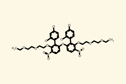 CCOCCOCCOc1c([N+](=O)[O-])ccc(Oc2ccc([N+](=O)[O-])c(OCCOCCOCC)c2-c2ccc(Cl)cc2Cl)c1-c1ccc(Cl)cc1Cl